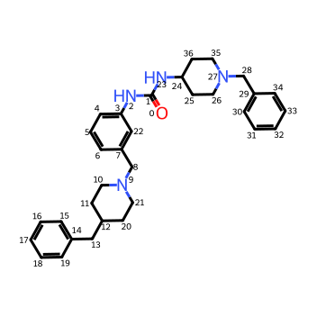 O=C(Nc1cccc(CN2CCC(Cc3ccccc3)CC2)c1)NC1CCN(Cc2ccccc2)CC1